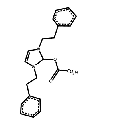 O=C(O)C(=O)OC1N(CCc2ccccc2)C=CN1CCc1ccccc1